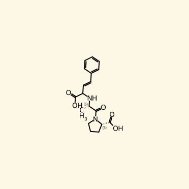 C[C@H](NC(C=Cc1ccccc1)C(=O)O)C(=O)N1CCC[C@H]1C(=O)O